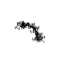 CC(O)CN(NC(=N)N)C(=O)c1cc2cc(NC(=O)c3ccc4[nH]c(C(=O)Nc5ccc6[nH]c(C(=O)N(CC(C)O)NC(=N)N)cc6c5)cc4c3)ccc2[nH]1